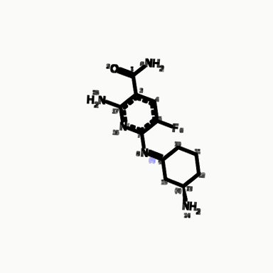 NC(=O)c1cc(F)c(/N=C2\CCC[C@@H](N)C2)nc1N